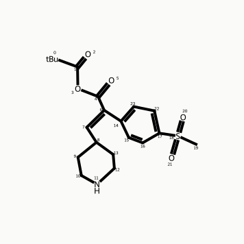 CC(C)(C)C(=O)OC(=O)/C(=C/C1CCNCC1)c1ccc(S(C)(=O)=O)cc1